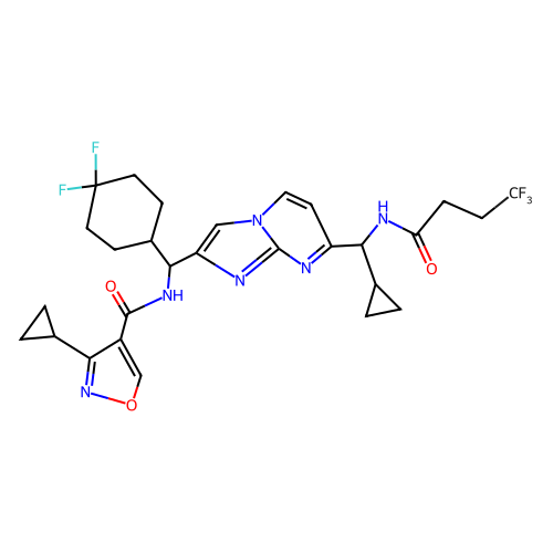 O=C(CCC(F)(F)F)NC(c1ccn2cc(C(NC(=O)c3conc3C3CC3)C3CCC(F)(F)CC3)nc2n1)C1CC1